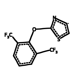 FC(F)(F)c1cccc(C(F)(F)F)c1Oc1n[c]cs1